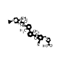 Cc1c(NC(=O)c2nc3c(n2C)CCN(C2CC2)C3)cccc1-c1cccc(-c2nc3cc(CN4CC[C@H](C(=O)O)C4)cc(C#N)c3o2)c1C